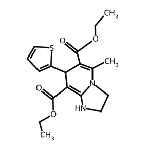 CCOC(=O)C1=C(C)N2CCNC2=C(C(=O)OCC)C1c1cccs1